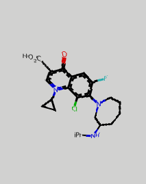 CC(C)NC1CCCCN(c2c(F)cc3c(=O)c(C(=O)O)cn(C4CC4)c3c2Cl)C1